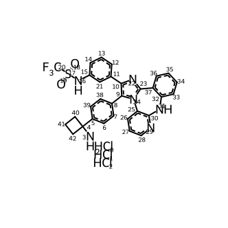 Cl.Cl.Cl.NC1(c2ccc(-c3c(-c4cccc(NS(=O)(=O)C(F)(F)F)c4)nc4n3-c3cccnc3Nc3ccccc3-4)cc2)CCC1